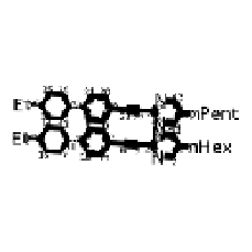 CCCCCCc1cnc(C#Cc2ccc([C@H]3CC[C@H](CC)CC3)cc2)nc1.CCCCCc1cnc(C#Cc2ccc([C@H]3CC[C@H](CC)CC3)cc2)nc1